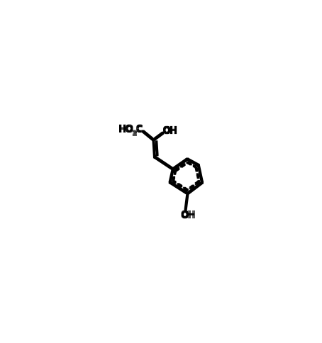 O=C(O)C(O)=Cc1cccc(O)c1